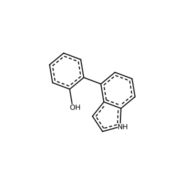 Oc1ccccc1-c1cccc2[nH]ccc12